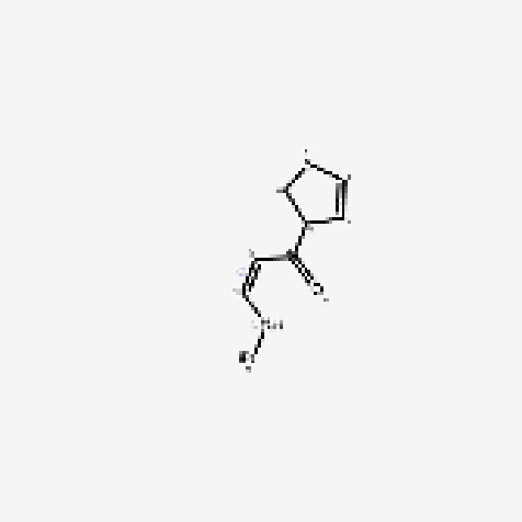 CC(C)N/C=C\C(=O)C1C=CSC1